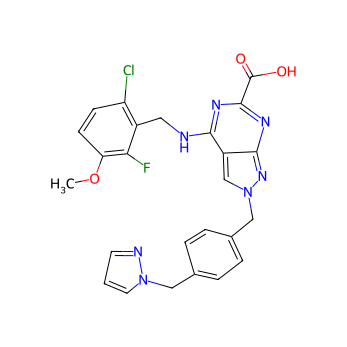 COc1ccc(Cl)c(CNc2nc(C(=O)O)nc3nn(Cc4ccc(Cn5cccn5)cc4)cc23)c1F